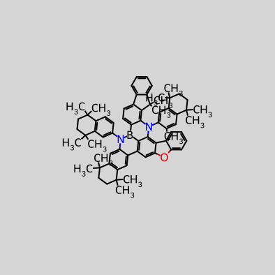 Cc1cc2c(cc1N1c3c(ccc4c3C(C)(C)c3ccccc3-4)B3c4c(cc5oc6ccccc6c5c41)-c1cc4c(cc1N3c1ccc3c(c1)C(C)(C)CCC3(C)C)C(C)(C)CCC4(C)C)C(C)(C)CCC2(C)C